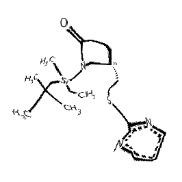 CC(C)(C)[Si](C)(C)N1C(=O)C[C@@H]1CSc1ncccn1